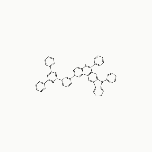 c1ccc(-c2cc(-c3ccccc3)nc(-c3cccc(-c4ccc5nc(-c6ccccc6)c6cc7c(cc6c5c4)c4ccccc4n7-c4ccccc4)c3)n2)cc1